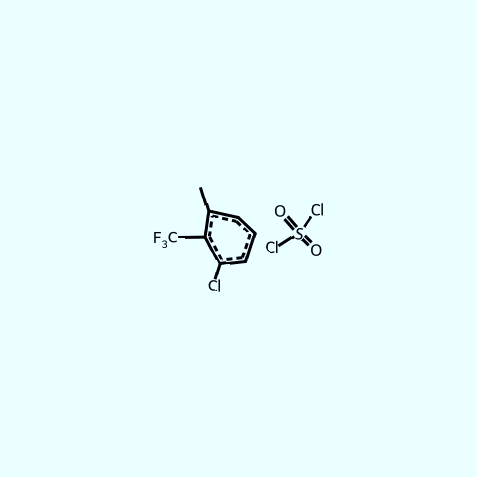 Cc1cccc(Cl)c1C(F)(F)F.O=S(=O)(Cl)Cl